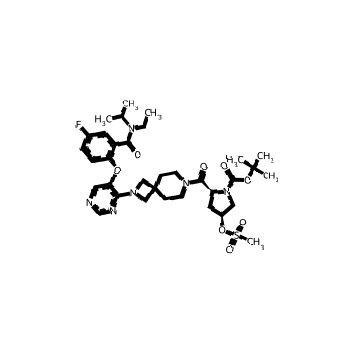 CCN(C(=O)c1cc(F)ccc1Oc1cncnc1N1CC2(CCN(C(=O)[C@@H]3C[C@H](OS(C)(=O)=O)CN3C(=O)OC(C)(C)C)CC2)C1)C(C)C